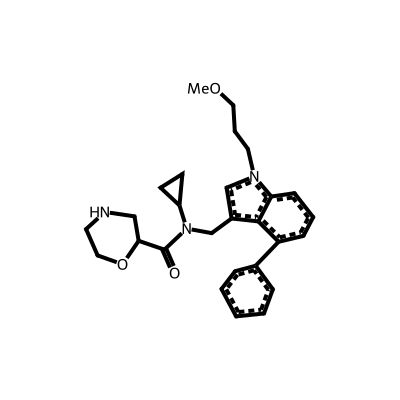 COCCCn1cc(CN(C(=O)C2CNCCO2)C2CC2)c2c(-c3ccccc3)cccc21